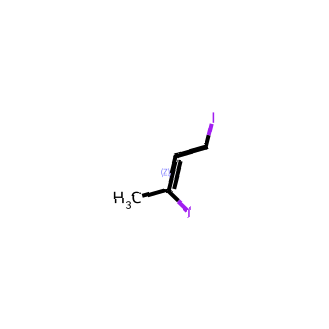 C/C(I)=C/CI